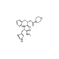 NC(=O)[C@@H](Cc1c[nH]cn1)NC(=O)[C@H](CC(=O)N1CCOCC1)Cc1ccccc1